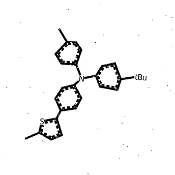 Cc1ccc(N(c2ccc(-c3ccc(C)s3)cc2)c2ccc(C(C)(C)C)cc2)cc1